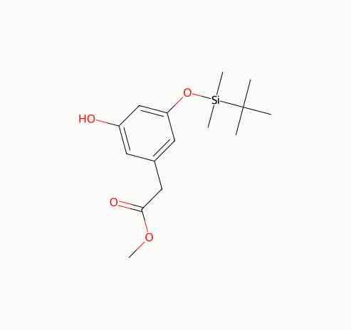 COC(=O)Cc1cc(O)cc(O[Si](C)(C)C(C)(C)C)c1